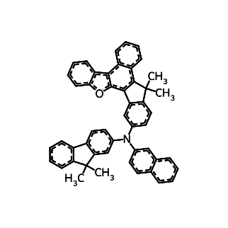 CC1(C)c2ccccc2-c2ccc(N(c3ccc4c(c3)-c3c(c5ccccc5c5c3oc3ccccc35)C4(C)C)c3ccc4ccccc4c3)cc21